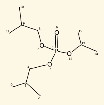 CC(C)COP(=O)(OCC(C)C)OC(C)C